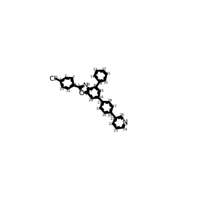 Clc1ccc(-c2nc3c(-c4ccccc4)cc(-c4ccc(-c5cccnc5)cc4)cc3o2)cc1